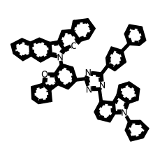 c1ccc(-c2ccc(-c3nc(-c4cc(-n5c6cc7ccccc7cc6c6cc7ccccc7cc65)c5oc6ccccc6c5c4)nc(-c4cccc5c4c4ccccc4n5-c4ccccc4)n3)cc2)cc1